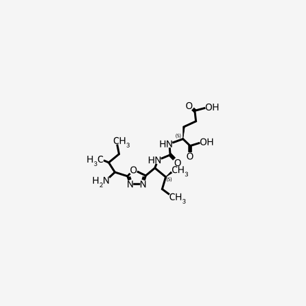 CCC(C)C(N)c1nnc(C(NC(=O)N[C@@H](CCC(=O)O)C(=O)O)[C@@H](C)CC)o1